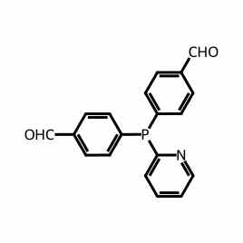 O=Cc1ccc(P(c2ccc(C=O)cc2)c2ccccn2)cc1